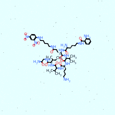 CCC(C)[C@H](NC(=O)[C@@H](NC(=O)[C@H](CCCCN)NC(=O)[C@@H](NC(=O)[C@H](CCC(=O)NCCCCCNc1ccc([N+](=O)[O-])cc1[N+](=O)[O-])NC(=O)[C@@H](N)CCCCNC(=O)c1ccccc1N)C(C)C)C(C)C)C(=O)NCC(N)=O